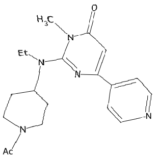 CCN(c1nc(-c2ccncc2)cc(=O)n1C)C1CCN(C(C)=O)CC1